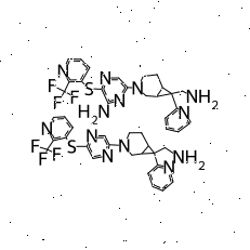 NCC1(c2ccccn2)C2CCN(c3cnc(Sc4cccnc4C(F)(F)F)c(N)n3)CC21.NCC1(c2ccccn2)C2CCN(c3cnc(Sc4cccnc4C(F)(F)F)cn3)CC21